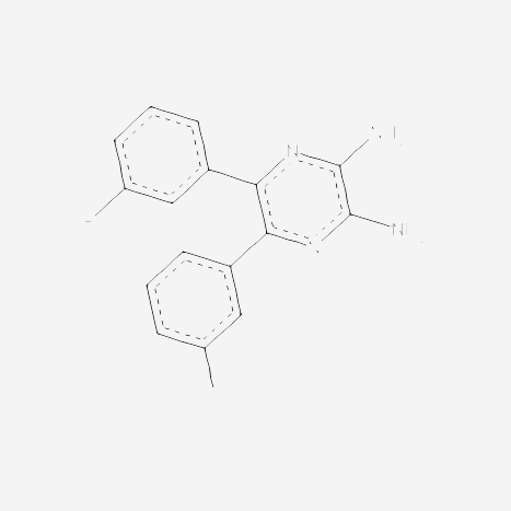 Nc1nc(-c2cccc(F)c2)c(-c2cccc(F)c2)nc1N